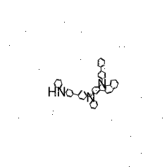 c1ccc(Nc2ccc(-c3ccc(N(c4ccccc4)c4ccc5c(c4)c4ccc6ccccc6c4n5-c4ccc(-c5ccccc5)cc4)cc3)cc2)cc1